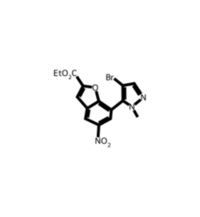 CCOC(=O)c1cc2cc([N+](=O)[O-])cc(-c3c(Br)cnn3C)c2o1